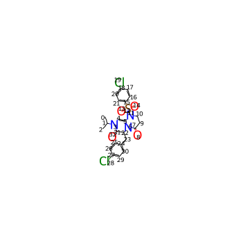 CC(C)N1C=C2N(C(=O)CCN2S(=O)(=O)c2ccc(Cl)cc2)C(Cc2ccc(Cl)cc2)C1=O